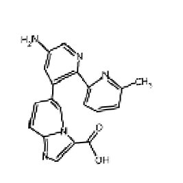 Cc1cccc(-c2ncc(N)cc2-c2ccc3ncc(C(=O)O)n3c2)n1